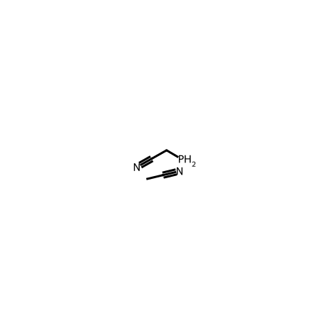 CC#N.N#CCP